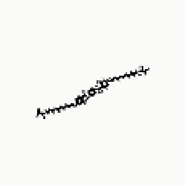 C=C(C)C(=O)OCCCCCCCCCCOc1ccc(C(=O)Oc2ccc(OC(=O)c3ccc(OCCCCCCCCCCOC(=O)C(=C)C)cc3F)cc2)c(F)c1